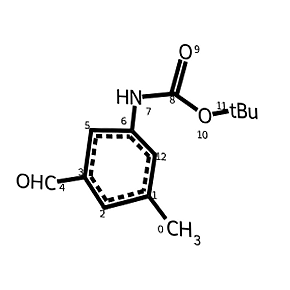 Cc1cc(C=O)cc(NC(=O)OC(C)(C)C)c1